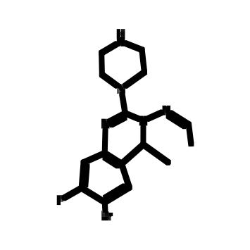 C/C=N\N1C(N2CCNCC2)=Nc2cc(F)c(Br)cc2C1C